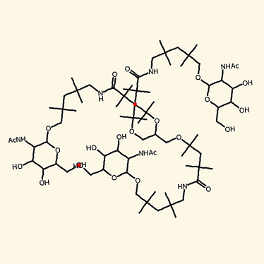 CC(=O)NC1C(OCC(C)(C)CC(C)(C)CNC(=O)C(C)(C)CC(C)(C)OCC(COC(C)(C)CC(C)(C)C(=O)NCC(C)(C)CC(C)(C)COC2OC(CO)C(O)C(O)C2NC(C)=O)OC(C)(C)CC(C)(C)C(=O)NCC(C)(C)CC(C)(C)COC2OC(CO)C(O)C(O)C2NC(C)=O)OC(CO)C(O)C1O